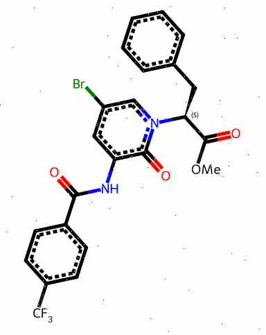 COC(=O)[C@H](Cc1ccccc1)n1cc(Br)cc(NC(=O)c2ccc(C(F)(F)F)cc2)c1=O